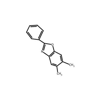 Cc1cc2nc(-c3ccccc3)oc2cc1C